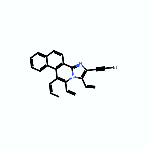 C=Cc1c(C#CCC)nc2c3ccc4ccccc4c3c(/C=C\C)c(C=C)n12